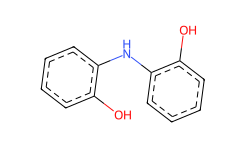 Oc1ccccc1Nc1ccccc1O